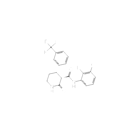 O=C1NCC[C@H](c2cccc(C(F)(F)F)c2)[C@H]1C(=O)Nc1cccc(Cl)c1F